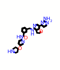 Nc1nccc(-c2cnc(NCc3cccc(C(=O)Nc4ccc(OC5CCNCC5)cn4)c3)c3c2OCC3)n1